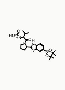 CC(C)C(NC(=O)O)C(=O)N1CCCC1c1nc2cc(B3OC(C)(C)C(C)(C)O3)ccc2[nH]1